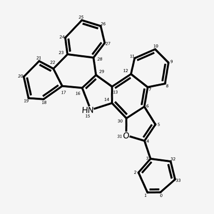 c1ccc(-c2cc3c4ccccc4c4c([nH]c5c6ccccc6c6ccccc6c54)c3o2)cc1